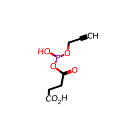 C#CCOP(O)OC(=O)CCC(=O)O